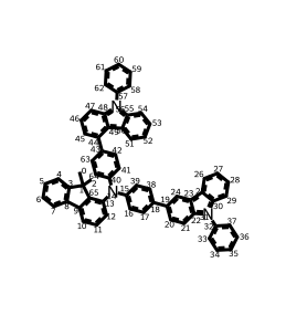 CC1(C)c2ccccc2-c2cccc(N(c3ccc(-c4ccc5c(c4)c4ccccc4n5-c4ccccc4)cc3)c3ccc(-c4cccc5c4c4ccccc4n5-c4ccccc4)cc3)c21